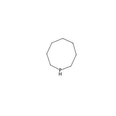 C1CCCPCCC1